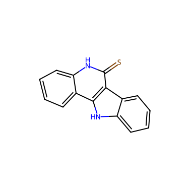 S=c1[nH]c2ccccc2c2[nH]c3ccccc3c12